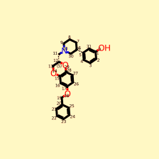 Oc1cccc([C@H]2CCCN(C[C@H]3COc4cc(OCc5ccccc5)ccc4O3)C2)c1